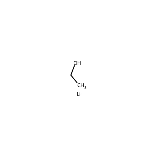 CCO.[Li]